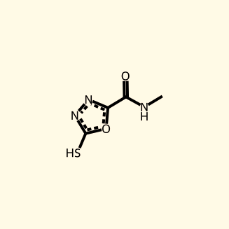 CNC(=O)c1nnc(S)o1